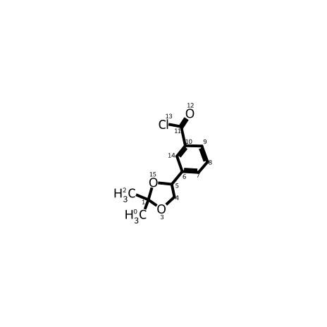 CC1(C)OCC(c2cccc(C(=O)Cl)c2)O1